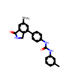 CC(=O)Nc1cc2c(c(-c3ccc(NC(=O)Nc4cccc(C)c4)cc3)c1)CNC2=O